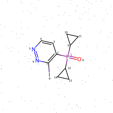 O=P(c1ccnnc1I)(C1CC1)C1CC1